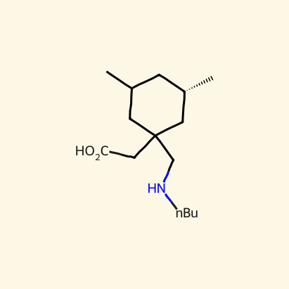 CCCCNCC1(CC(=O)O)CC(C)C[C@H](C)C1